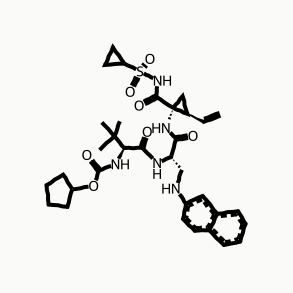 C=C[C@@H]1C[C@]1(NC(=O)[C@H](CNc1ccc2ccccc2c1)NC(=O)[C@@H](NC(=O)OC1CCCC1)C(C)(C)C)C(=O)NS(=O)(=O)C1CC1